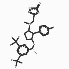 C[C@@H](OC1CCC(N(C)Cc2n[nH]c(=O)[nH]2)C1c1ccc(F)cc1)c1cc(C(F)(F)F)cc(C(F)(F)F)c1